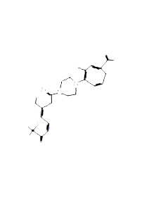 C=C(/C=C\C=C1\CON=C(N2CCN(C3=C(Cl)C=C(C(=O)O)CC=C3)CC2)C1)C(F)(F)F